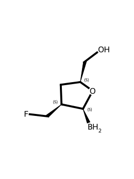 B[C@@H]1O[C@H](CO)C[C@@H]1CF